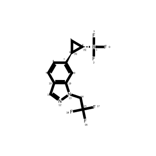 F[B-](F)(F)[C@H]1C[C@@H]1c1ccc2cnn(CC(F)(F)F)c2c1